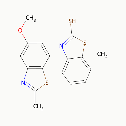 C.COc1ccc2sc(C)nc2c1.Sc1nc2ccccc2s1